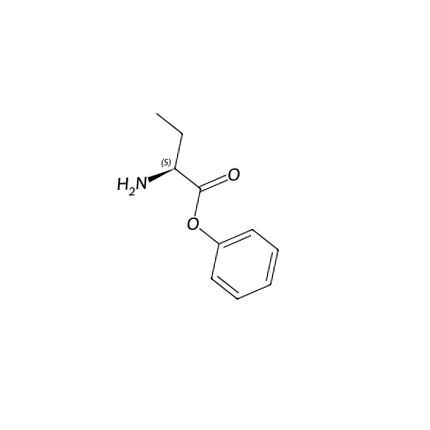 CC[C@H](N)C(=O)Oc1ccccc1